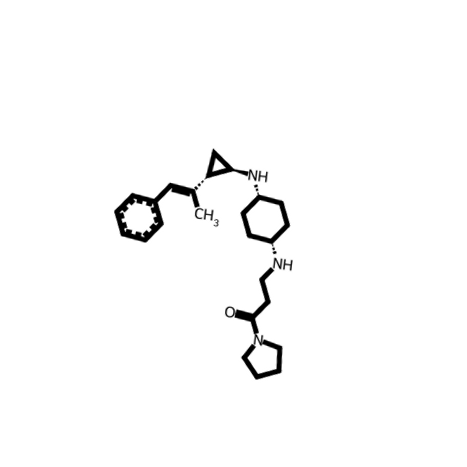 C/C(=C\c1ccccc1)[C@@H]1C[C@H]1N[C@H]1CC[C@@H](NCCC(=O)N2CCCC2)CC1